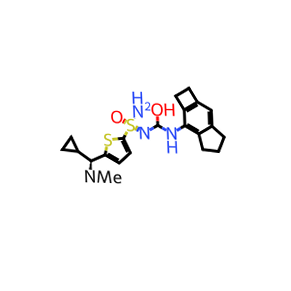 CN[C@H](c1ccc(S(N)(=O)=NC(O)Nc2c3c(cc4c2CC4)CCC3)s1)C1CC1